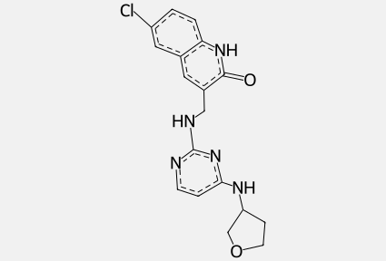 O=c1[nH]c2ccc(Cl)cc2cc1CNc1nccc(NC2CCOC2)n1